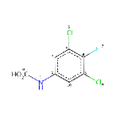 O=C(O)Nc1cc(Cl)c(F)c(Cl)c1